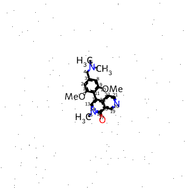 COc1cc(CN(C)C)cc(OC)c1-c1cn(C)c(=O)c2cnccc12